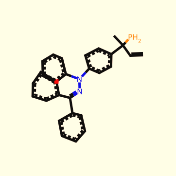 C=CC(C)(P)c1ccc(N(N=C(c2ccccc2)c2ccccc2)c2ccccc2)cc1